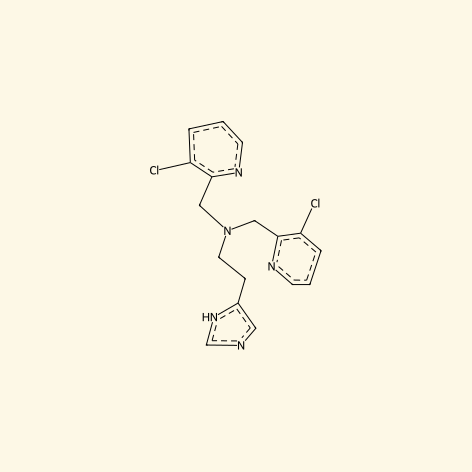 Clc1cccnc1CN(CCc1cnc[nH]1)Cc1ncccc1Cl